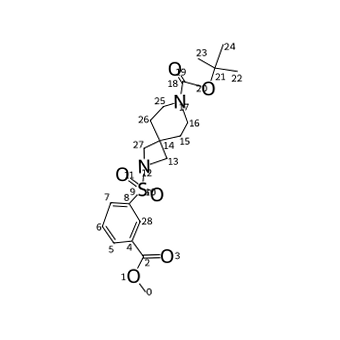 COC(=O)c1cccc(S(=O)(=O)N2CC3(CCN(C(=O)OC(C)(C)C)CC3)C2)c1